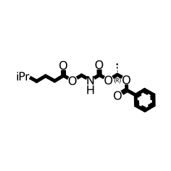 CC(C)CCCC(=O)OCNC(=O)O[C@H](C)OC(=O)c1ccccc1